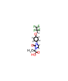 C[C@H](C(=O)O)n1ccn(-c2ccc(OCC(F)(F)C(F)F)cc2)c1=O